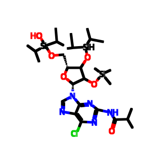 CC(C)C(=O)Nc1nc(Cl)c2ncn([C@@H]3O[C@H](CO[Si](O)(C(C)C)C(C)C)C(O[SiH](C(C)C)C(C)C)C3O[Si](C)(C)C)c2n1